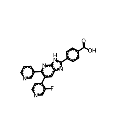 O=C(O)c1ccc(-c2nc3cc(-c4ccncc4F)c(-c4cccnc4)nc3[nH]2)cc1